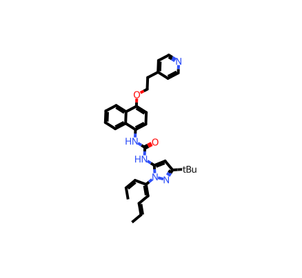 C\C=C/C(=C\C=C\C)n1nc(C(C)(C)C)cc1NC(=O)Nc1ccc(OCCc2ccncc2)c2ccccc12